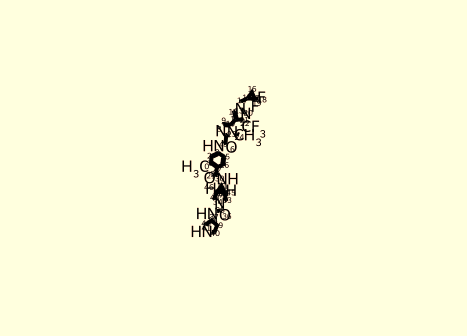 Cc1cc(NC(=O)c2ncc(-c3cn(CC4CC4(F)F)nc3C(F)(F)F)n2C)ccc1C(=O)N[C@H]1[C@@H]2CN(C(=O)N[C@H]3CCNC3)C[C@@H]21